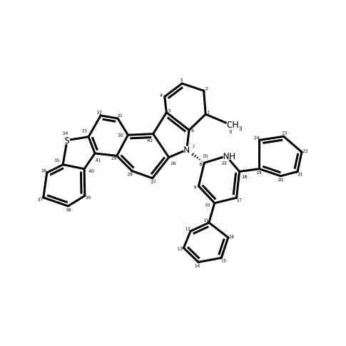 CC1CC=Cc2c1n([C@H]1C=C(c3ccccc3)C=C(c3ccccc3)N1)c1ccc3c(ccc4sc5ccccc5c43)c21